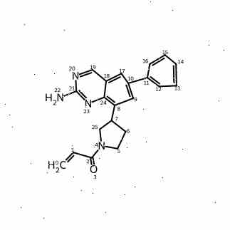 C=CC(=O)N1CCC(c2cc(-c3ccccc3)cc3cnc(N)nc23)C1